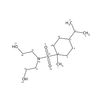 CC(C)C1CCC(C)(S(=O)(=O)N(CCO)CCO)CC1